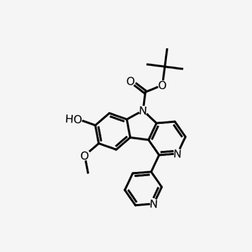 COc1cc2c3c(-c4cccnc4)nccc3n(C(=O)OC(C)(C)C)c2cc1O